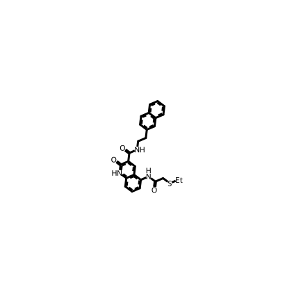 CCSCC(=O)Nc1cccc2[nH]c(=O)c(C(=O)NCCc3ccc4ccccc4c3)cc12